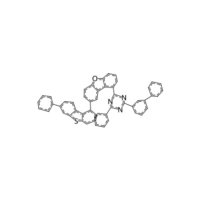 c1ccc(-c2cccc(-c3nc(-c4ccccc4)nc(-c4cccc5oc6ccc(-c7cccc8sc9cc(-c%10ccccc%10)ccc9c78)cc6c45)n3)c2)cc1